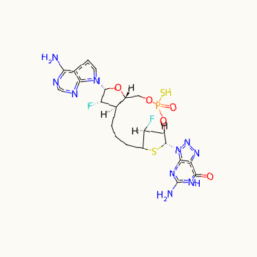 Nc1nc2c(nnn2[C@@H]2SC3CCC[C@H]4[C@H](F)[C@H](n5ccc6c(N)ncnc65)O[C@@H]4COP(=O)(S)O[C@@H]2[C@@H]3F)c(=O)[nH]1